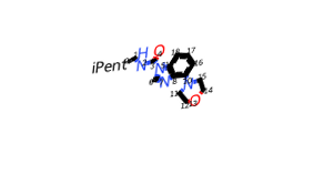 CCCC(C)CNC(=O)n1cnc2c(N3CCOCC3)cccc21